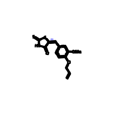 C=CCOc1ccc(/C=C2/SC(=S)NC2=O)cc1OC